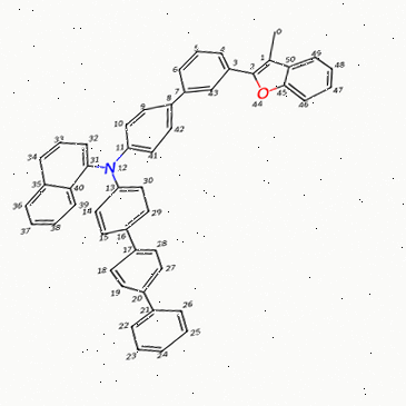 Cc1c(-c2cccc(-c3ccc(N(c4ccc(-c5ccc(-c6ccccc6)cc5)cc4)c4cccc5ccccc45)cc3)c2)oc2ccccc12